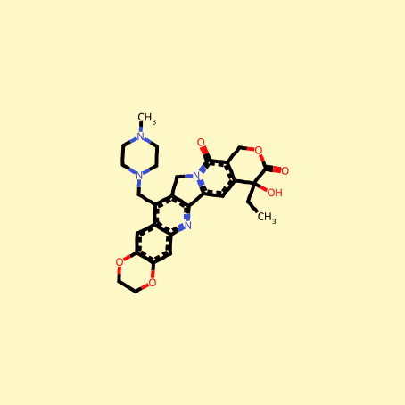 CCC1(O)C(=O)OCc2c1cc1n(c2=O)Cc2c-1nc1cc3c(cc1c2CN1CCN(C)CC1)OCCO3